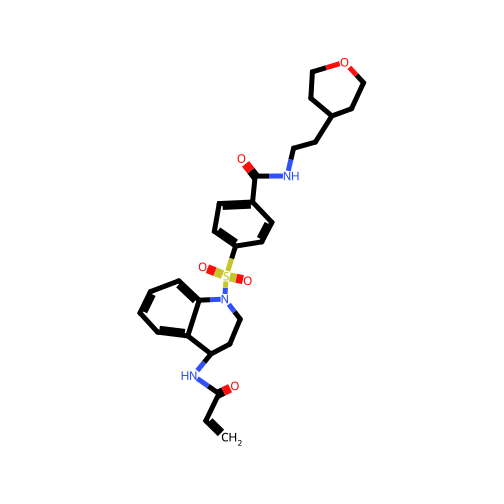 C=CC(=O)NC1CCN(S(=O)(=O)c2ccc(C(=O)NCCC3CCOCC3)cc2)c2ccccc21